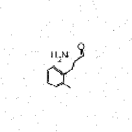 Cc1ccccc1C[C@H](N)C=O